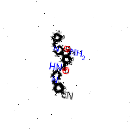 N#Cc1ccc(CN2CCC(NC(=O)c3ccc(C(N)=O)c(C4CCN(Cc5ccccc5)CC4)c3)CC2)cc1